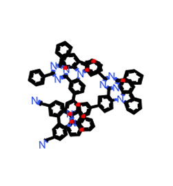 N#Cc1ccc(-n2c3ccccc3c3cc(-c4ccc(-n5c6ccccc6c6ccccc65)c(-c5nc(-c6ccccc6)nc(-c6ccccc6)n5)c4)ccc32)c(-c2cc(C#N)ccc2-n2c3ccccc3c3cc(-c4ccc(-n5c6ccccc6c6ccccc65)c(-c5nc(-c6ccccc6)nc(-c6ccccc6)n5)c4)ccc32)c1